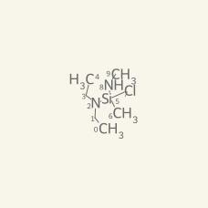 CCN(CC)[Si](C)(Cl)NC